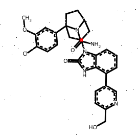 COc1cc(C23CCC(CC(n4c(=O)[nH]c5c(-c6ccc(CO)nc6)cccc54)C2)N3C(N)=O)ccc1Cl